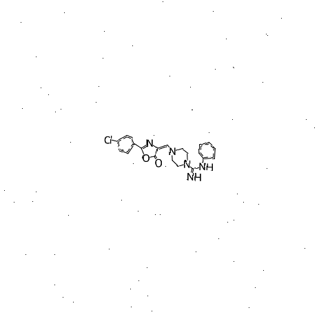 N=C(Nc1ccccc1)N1CCN(/C=C2/N=C(c3ccc(Cl)cc3)OC2=O)CC1